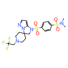 CN(C)S(=O)(=O)c1ccc(S(=O)(=O)N2CC3(CCN(CC(F)(F)F)CC3)n3nccc32)cc1